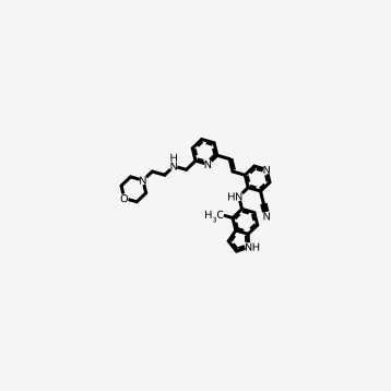 Cc1c(Nc2c(C#N)cncc2/C=C/c2cccc(CNCCN3CCOCC3)n2)ccc2[nH]ccc12